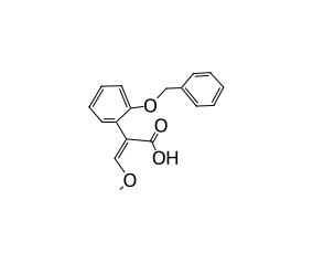 CO/C=C(\C(=O)O)c1ccccc1OCc1ccccc1